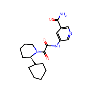 NC(=O)c1cncc(NC(=O)C(=O)N2CCCC[C@@H]2C2CCCCC2)c1